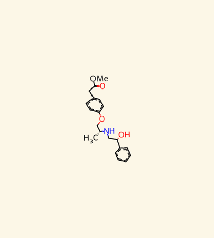 COC(=O)Cc1ccc(OC[C@@H](C)NC[C@H](O)c2ccccc2)cc1